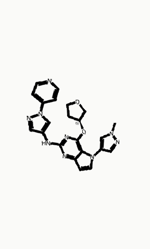 Cn1cc(-n2ccc3nc(Nc4cnn(-c5ccncc5)c4)nc(O[C@H]4CCOC4)c32)cn1